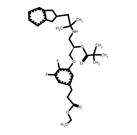 CCOC(=O)CCc1cc(F)c(F)c(OC[C@@H](CNC(C)(C)CC2Cc3ccccc3C2)OC(=O)C(C)(C)C)c1